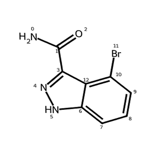 NC(=O)c1n[nH]c2cccc(Br)c12